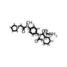 CN(C(=O)CN1CCCC1)c1ccc(N2C(=O)N3CCC[CH][C@]3(C(N)=O)C2=O)cc1